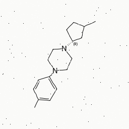 Cc1ccc(N2CCN([C@@H]3CCC(C)C3)CC2)cc1